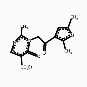 CCOC(=O)c1cnc(C)n(CC(=O)c2cc(C)oc2C)c1=O